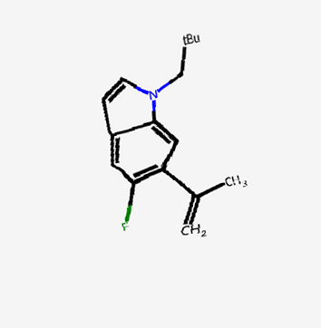 C=C(C)c1cc2c(ccn2CC(C)(C)C)cc1F